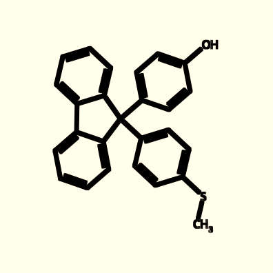 CSc1ccc(C2(c3ccc(O)cc3)c3ccccc3-c3ccccc32)cc1